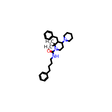 CC1(C)C(Cc2ccccc2)C(N2CCCCC2)CCN1C(=O)NCCCCc1ccccc1